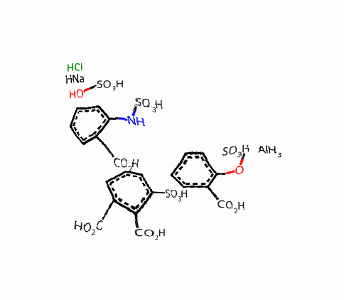 Cl.O=C(O)c1cccc(S(=O)(=O)O)c1C(=O)O.O=C(O)c1ccccc1NS(=O)(=O)O.O=C(O)c1ccccc1OS(=O)(=O)O.O=S(=O)(O)O.[AlH3].[NaH]